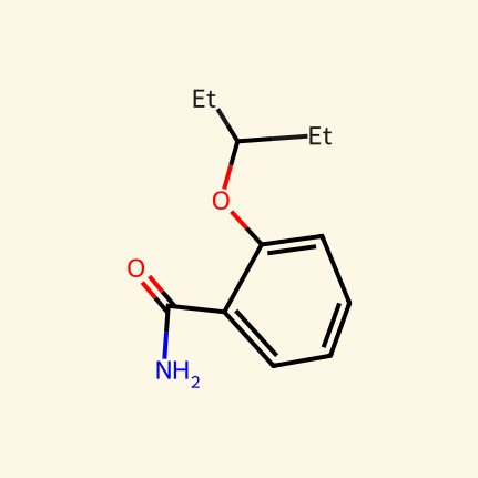 CCC(CC)Oc1ccccc1C(N)=O